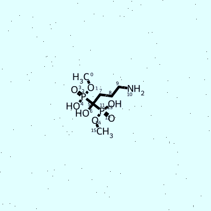 COP(=O)(O)C(O)(CCCN)P(=O)(O)OC